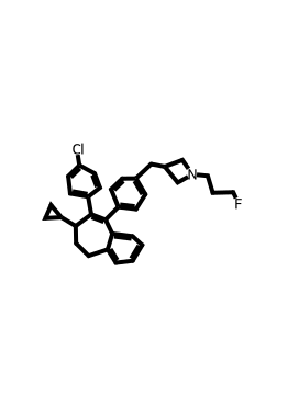 FCCCN1CC(Cc2ccc(C3=C(c4ccc(Cl)cc4)C(C4CC4)CCc4ccccc43)cc2)C1